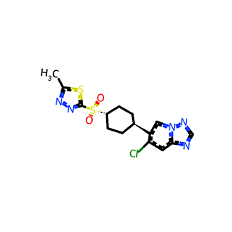 Cc1nnc(S(=O)(=O)[C@H]2CC[C@H](c3cn4ncnc4cc3Cl)CC2)s1